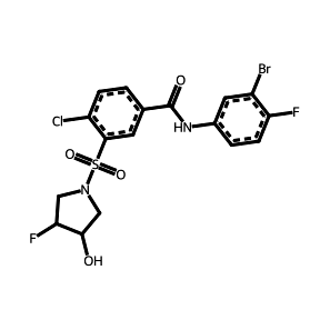 O=C(Nc1ccc(F)c(Br)c1)c1ccc(Cl)c(S(=O)(=O)N2CC(O)C(F)C2)c1